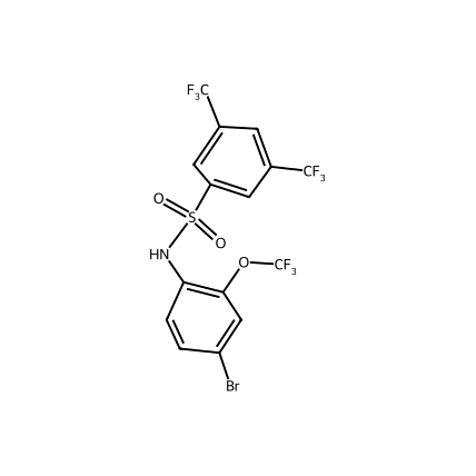 O=S(=O)(Nc1ccc(Br)cc1OC(F)(F)F)c1cc(C(F)(F)F)cc(C(F)(F)F)c1